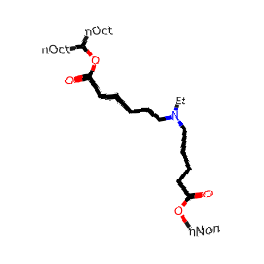 CCCCCCCCCOC(=O)CCCCN(CC)CCCCCC(=O)OC(CCCCCCCC)CCCCCCCC